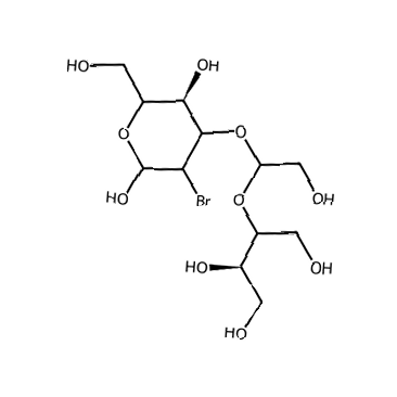 OCC(OC1C(Br)C(O)OC(CO)[C@H]1O)OC(CO)[C@H](O)CO